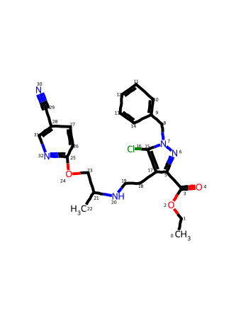 CCOC(=O)c1nn(Cc2ccccc2)c(Cl)c1CCNC(C)COc1ccc(C#N)cn1